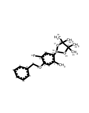 Cc1cc(OCc2ccccc2)c(F)cc1B1OC(C)(C)C(C)(C)O1